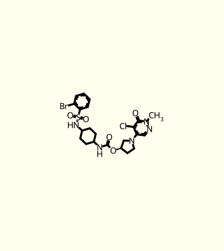 Cn1ncc(N2CC[C@@H](OC(=O)NC3CCC(NS(=O)(=O)c4ccccc4Br)CC3)C2)c(Cl)c1=O